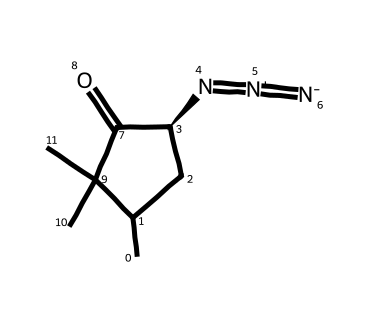 CC1C[C@H](N=[N+]=[N-])C(=O)C1(C)C